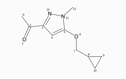 CC(=O)c1cc(OCC2CC2)n(C)n1